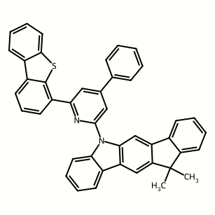 CC1(C)c2ccccc2-c2cc3c(cc21)c1ccccc1n3-c1cc(-c2ccccc2)cc(-c2cccc3c2sc2ccccc23)n1